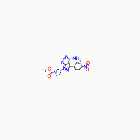 CC(C)(C)OC(=O)N1CCC(n2nc(-c3ccc([N+](=O)[O-])cc3)c3c(N)ncnc32)C1